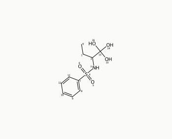 CCC(NS(=O)(=O)c1ccccc1)C(O)(O)O